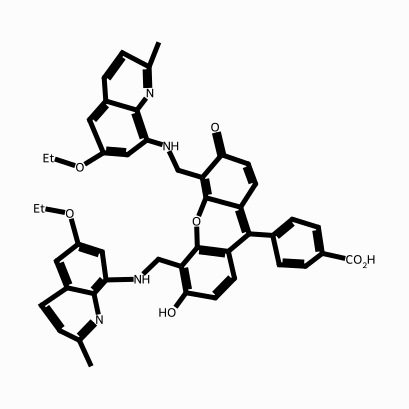 CCOc1cc(NCc2c3oc4c(CNc5cc(OCC)cc6ccc(C)nc56)c(O)ccc4c(-c4ccc(C(=O)O)cc4)c-3ccc2=O)c2nc(C)ccc2c1